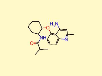 Cc1cc(N)c2c(OC3CCCCC3NC(=O)C(C)C)cccc2n1